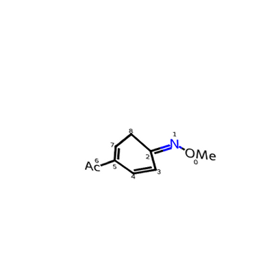 CON=C1C=CC(C(C)=O)=CC1